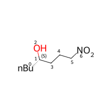 CCCC[C@H](O)CCC[N+](=O)[O-]